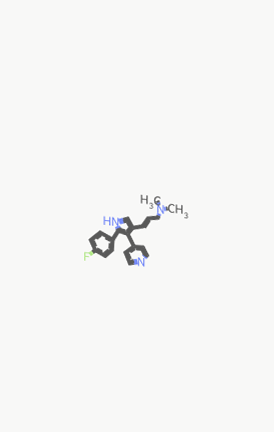 CN(C)C/C=C/c1c[nH]c(-c2ccc(F)cc2)c1-c1ccncc1